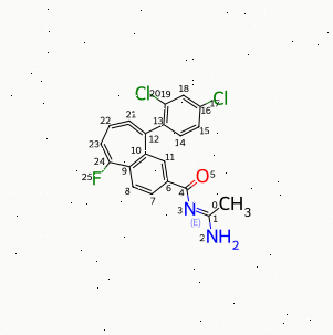 C/C(N)=N\C(=O)c1ccc2c(c1)C(c1ccc(Cl)cc1Cl)=C=CC=C2F